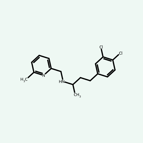 Cc1cccc(CNC(C)CCc2ccc(Cl)c(Cl)c2)n1